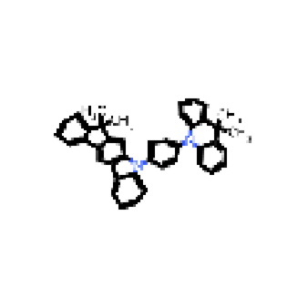 CC1(C)c2ccccc2-c2cc3c4ccccc4n(-c4ccc(N5c6ccccc6C(C)(C)c6ccccc65)cc4)c3cc21